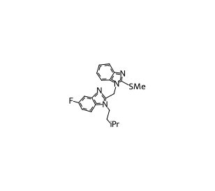 CSc1nc2ccccc2n1Cc1nc2cc(F)ccc2n1CCC(C)C